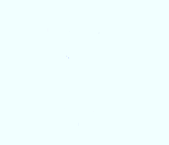 COc1c(Cl)cc2nc(C(=O)O)c(C(=O)O)c(O)c2c1Cl